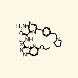 CCOc1ccc2nnc([C@@H](C)NC(=O)c3nc(-c4ccc(CN5CCCC5)cc4)cnc3N)n2n1